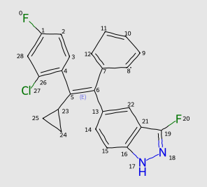 Fc1ccc(/C(=C(\c2[c]cccc2)c2ccc3[nH]nc(F)c3c2)C2CC2)c(Cl)c1